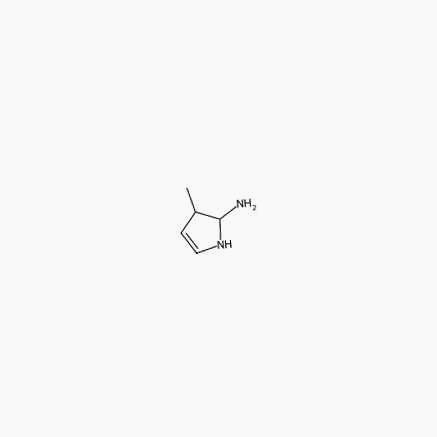 CC1C=CNC1N